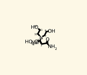 NC(=O)CC(C(=O)O)N(CCO)CCO.[NaH]